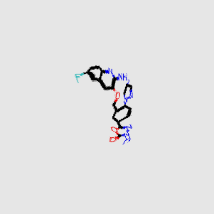 Nc1nc2ccc(F)cc2cc1OCc1cc(-c2n[nH]c(=O)o2)ccc1-n1cccn1